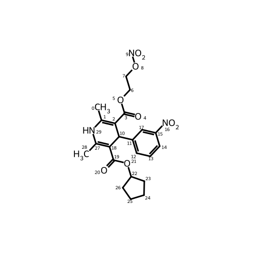 CC1=C(C(=O)OCCO[N+](=O)[O-])C(c2cccc([N+](=O)[O-])c2)C(C(=O)OC2CCCC2)=C(C)N1